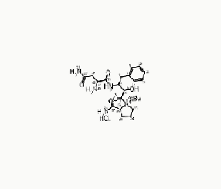 CC(C)(C)[N+]1(C(=O)C(O)C(Cc2ccccc2)NC(=O)[C@@H](N)CC(N)=O)CCC[C@H]1C(N)=O.Cl